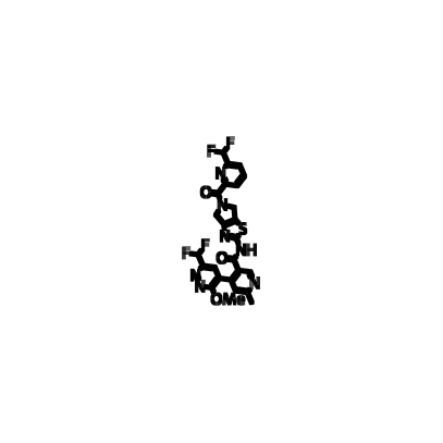 COc1nnc(C(F)F)cc1-c1cc(C)ncc1C(=O)Nc1nc2c(s1)CN(C(=O)c1cccc(C(F)F)n1)C2